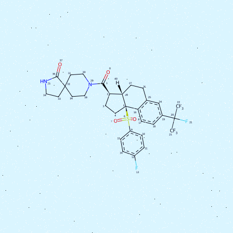 O=C([C@@H]1CC[C@@]2(S(=O)(=O)c3ccc(F)cc3)c3ccc(C(F)(C(F)(F)F)C(F)(F)F)cc3CC[C@@H]12)N1CCC2(CCNC2=O)CC1